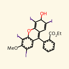 CCOC(=O)c1ccccc1C1=C2C=C(I)C(O)C(I)=C2Oc2c1cc(I)c(OC)c2I